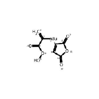 C=C(CCCC)C(=O)OO.O=C1C=CC(=O)O1